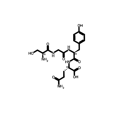 NC(=O)CC[C@H](NC(=O)[C@H](Cc1ccc(O)cc1)NC(=O)CNC(=O)[C@@H](N)CO)C(=O)O